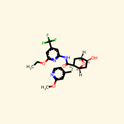 CCOc1cc(C(F)(F)F)cc(NC(=O)[C@@]2(Cc3ccnc(OC)c3)C[C@H]3O[C@@H]2C[C@@H]3O)n1